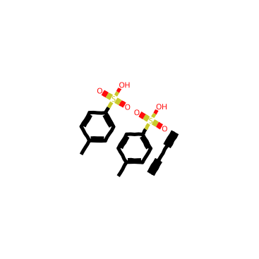 C#CC#C.Cc1ccc(S(=O)(=O)O)cc1.Cc1ccc(S(=O)(=O)O)cc1